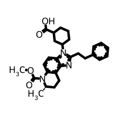 COC(=O)N1c2ccc3c(nc(CCc4ccccc4)n3C3CCCC(C(=O)O)C3)c2CC[C@@H]1C